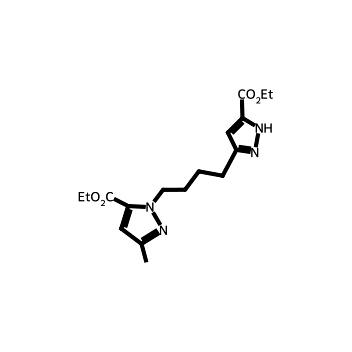 CCOC(=O)c1cc(CCCCn2nc(C)cc2C(=O)OCC)n[nH]1